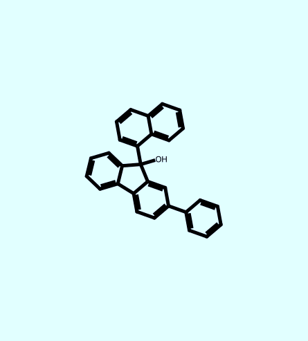 OC1(c2cccc3ccccc23)c2ccccc2-c2ccc(-c3ccccc3)cc21